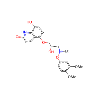 CCN(CC(O)COc1ccc(O)c2[nH]c(=O)ccc12)Oc1ccc(OC)c(OC)c1